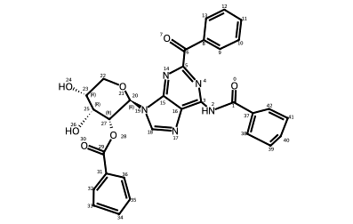 O=C(Nc1nc(C(=O)c2ccccc2)nc2c1ncn2[C@@H]1OC[C@@H](O)[C@@H](O)[C@H]1OC(=O)c1ccccc1)c1ccccc1